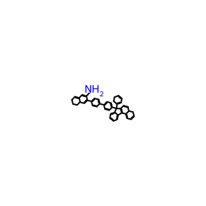 NCC1=CC2=CCCCC2C=C1c1ccc(-c2ccc(C3(C4=CC=CCC4)C4=C(C5=CC=CCC5C=C4)c4ccccc43)cc2)cc1